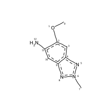 COc1cc2nn(C)nc2cc1N